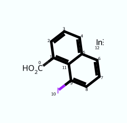 O=C(O)c1cccc2cccc(I)c12.[In]